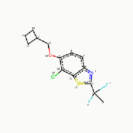 CC(F)(F)c1nc2ccc(OCC3CCC3)c(Cl)c2s1